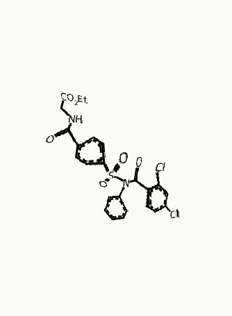 CCOC(=O)CNC(=O)c1ccc(S(=O)(=O)N(C(=O)c2ccc(Cl)cc2Cl)c2ccccc2)cc1